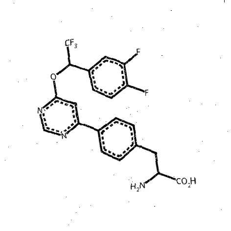 NC(Cc1ccc(-c2cc(OC(c3ccc(F)c(F)c3)C(F)(F)F)ncn2)cc1)C(=O)O